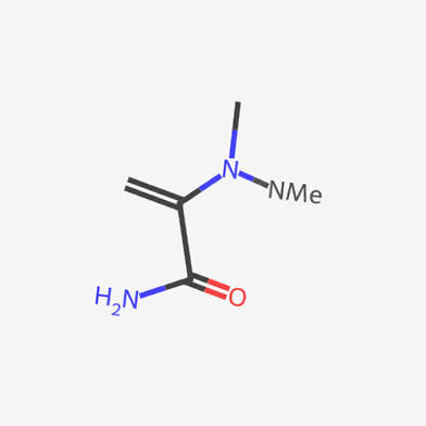 C=C(C(N)=O)N(C)NC